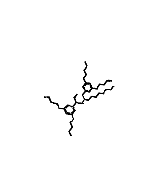 CCCCCCCCC([CH]C(CC)c1cc(CCCCC)cc(CCCCC)c1)Cc1cc(CCCCC)cc(CCCCC)c1